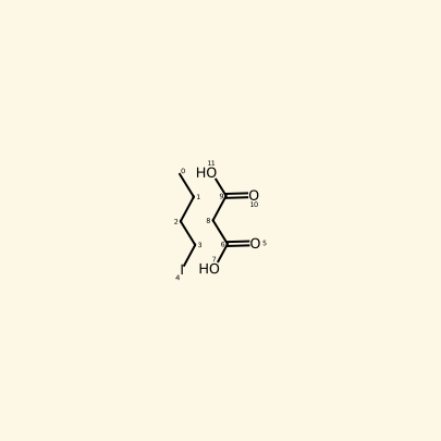 CCCCI.O=C(O)CC(=O)O